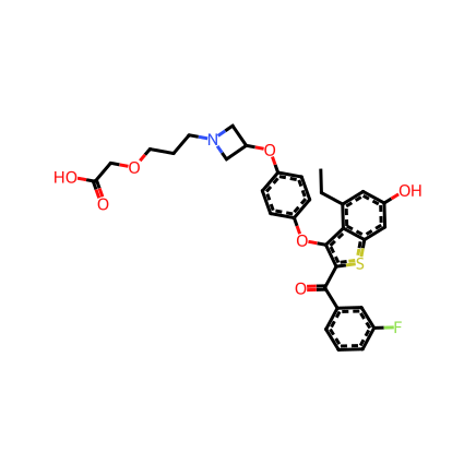 CCc1cc(O)cc2sc(C(=O)c3cccc(F)c3)c(Oc3ccc(OC4CN(CCCOCC(=O)O)C4)cc3)c12